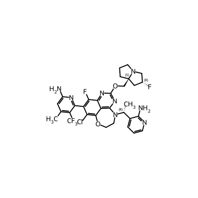 Cc1cc(N)nc(-c2c(Cl)c3c4c(nc(OC[C@@]56CCCN5C[C@H](F)C6)nc4c2F)N([C@H](C)c2cccnc2N)CCO3)c1C(F)(F)F